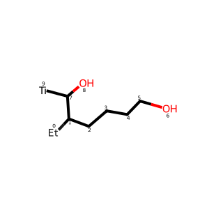 CCC(CCCCO)[CH](O)[Ti]